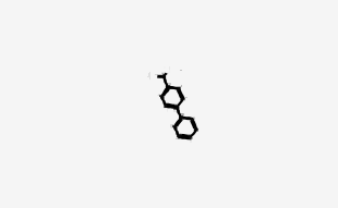 CC(C)(C)C(P)c1ccc(-c2ccccc2)cc1